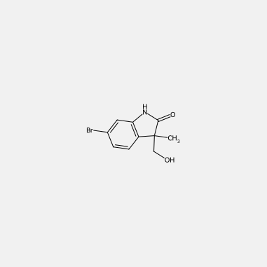 CC1(CO)C(=O)Nc2cc(Br)ccc21